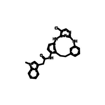 Cn1cc(CC(=O)Nc2ccc3cc2CCc2cccc(c2)Nc2ncc(Cl)c(n2)N3)c2ccccc21